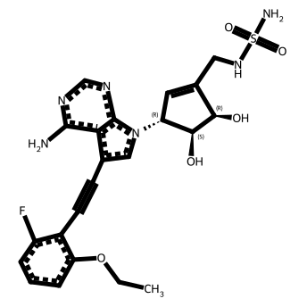 CCOc1cccc(F)c1C#Cc1cn([C@@H]2C=C(CNS(N)(=O)=O)[C@@H](O)[C@H]2O)c2ncnc(N)c12